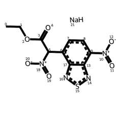 CCOC(=O)C(c1ccc([N+](=O)[O-])c2nsnc12)[N+](=O)[O-].[NaH]